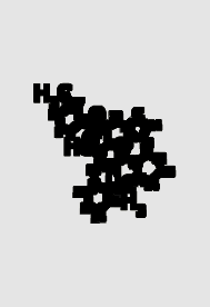 Cc1cccc(S(=O)(=O)N(Cc2cccs2)C[C@@H](O)[C@H](Cc2ccccc2)NC(=O)[C@H]2CCCC[C@@H]2C)c1